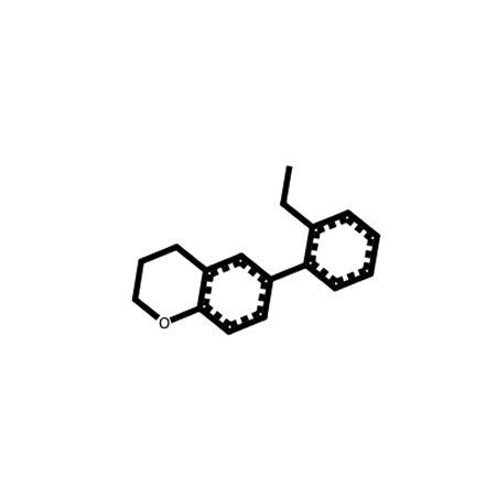 CCc1ccccc1-c1ccc2c(c1)CCCO2